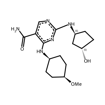 CO[C@H]1CC[C@@H](Nc2nc(N[C@H]3CC[C@H](O)C3)ncc2C(N)=O)CC1